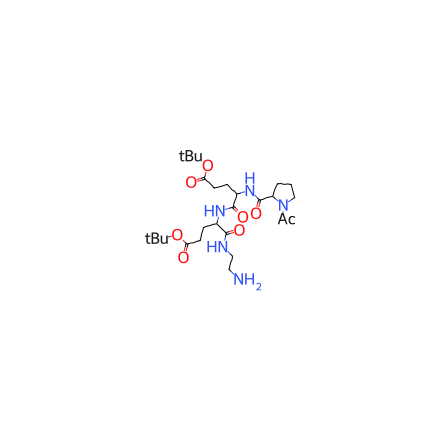 CC(=O)N1CCCC1C(=O)NC(CCC(=O)OC(C)(C)C)C(=O)NC(CCC(=O)OC(C)(C)C)C(=O)NCCN